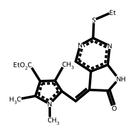 CCOC(=O)c1c(C)c(C=C2C(=O)Nc3nc(SCC)ncc32)n(C)c1C